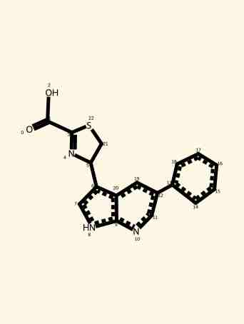 O=C(O)C1=NC(c2c[nH]c3ncc(-c4ccccc4)cc23)CS1